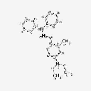 CCN(CC)c1ccc(C=NN(c2ccccc2)c2ccccc2)c(C)c1